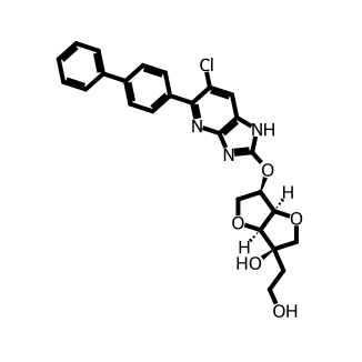 OCC[C@@]1(O)CO[C@@H]2[C@H](Oc3nc4nc(-c5ccc(-c6ccccc6)cc5)c(Cl)cc4[nH]3)CO[C@@H]21